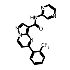 O=C(Nc1cnccn1)c1cnn2ccc(-c3ccccc3C(F)(F)F)nc12